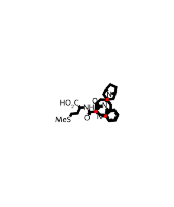 CSCCC(NC(=O)c1nc2ccccc2n(C2CC3CCC(C2)N3C2CCCCCCC2)c1=O)C(=O)O